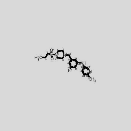 CCCS(=O)(=O)N1CCN(Cc2cc(F)cc(Nc3ccc(C)nc3)c2)CC1